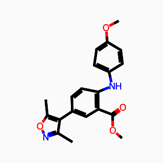 COC(=O)c1cc(-c2c(C)noc2C)ccc1Nc1ccc(OC)cc1